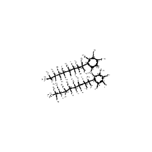 Fc1c(F)c(F)c(C(F)(F)C(F)(F)C(F)(F)C(F)(F)C(F)(F)C(F)(F)C(F)(F)C(F)(F)C(F)(F)F)c(Oc2c(F)c(F)c(F)c(F)c2C(F)(F)C(F)(F)C(F)(F)C(F)(F)C(F)(F)C(F)(F)C(F)(F)C(F)(F)C(F)(F)F)c1F